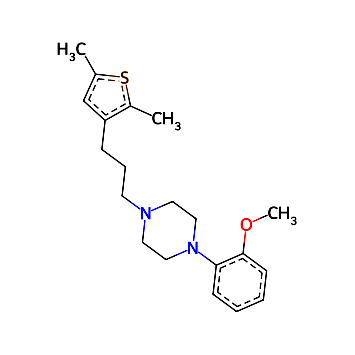 COc1ccccc1N1CCN(CCCc2cc(C)sc2C)CC1